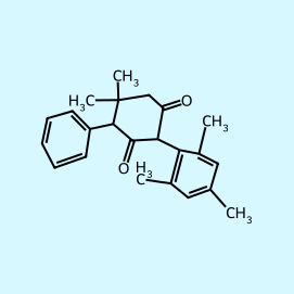 Cc1cc(C)c(C2C(=O)CC(C)(C)C(c3ccccc3)C2=O)c(C)c1